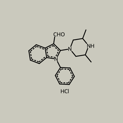 CC1CN(c2c(C=O)c3ccccc3n2-c2ccccc2)CC(C)N1.Cl